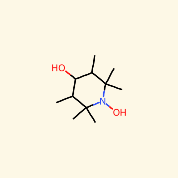 CC1C(O)C(C)C(C)(C)N(O)C1(C)C